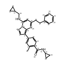 Cc1cc(-c2cnn3c(NCC4CC4)cc(CCc4cccnc4)nc23)ccc1C(=O)NC1CC1